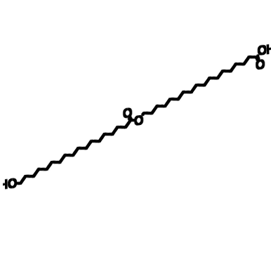 O=C(O)CCCCCCCCCCCCCCCCCOC(=O)CCCCCCCCCCCCCCCCCO